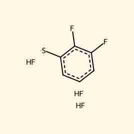 F.F.F.Fc1cccc([S])c1F